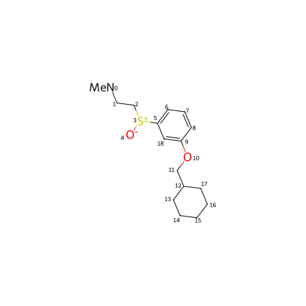 CNCC[S+]([O-])c1cccc(OCC2CCCCC2)c1